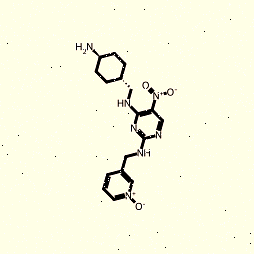 N[C@H]1CC[C@H](CNc2nc(NCc3ccc[n+]([O-])c3)ncc2[N+](=O)[O-])CC1